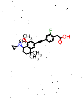 COc1cc(C#Cc2ccc(CC(=O)O)c(F)c2)cc2c1C(N(C)C1CC1)CCC2(C)C